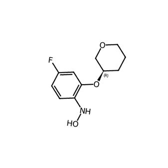 ONc1ccc(F)cc1O[C@@H]1CCCOC1